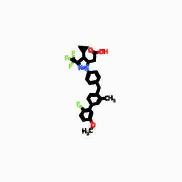 COc1ccc(F)c(C2C=C(C)C(Cc3ccc(N4N=C(C(F)(F)F)C(C5CC5)C4CC(=O)O)cc3)=CC2)c1